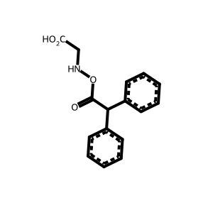 O=C(O)CNOC(=O)C(c1ccccc1)c1ccccc1